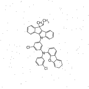 CCC1(C)c2ccccc2-c2c1c1ccccc1n2-c1cc(Cl)cc(N(c2cccc(Cl)c2)c2cccc3c4c(oc23)=CCCC=4)c1